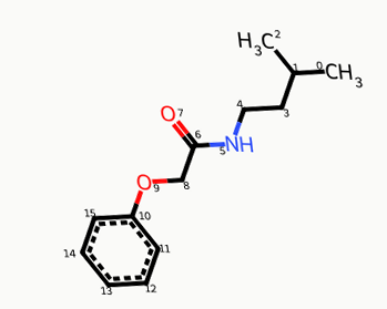 CC(C)CCNC(=O)COc1ccccc1